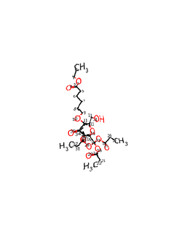 CCOC(=O)CCCCCOc1c(CO)oc(C(OC(=O)CC)(OC(=O)CC)OC(=O)CC)cc1=O